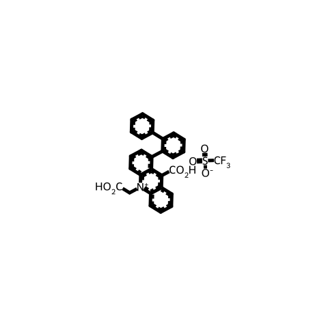 O=C(O)C[n+]1c2ccccc2c(C(=O)O)c2c(-c3ccccc3-c3ccccc3)cccc21.O=S(=O)([O-])C(F)(F)F